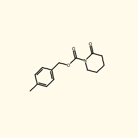 Cc1ccc(COC(=O)N2CCCCC2=O)cc1